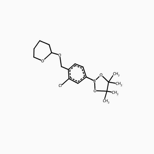 CC1(C)OB(c2ccc(COC3CCCCO3)c(Cl)c2)OC1(C)C